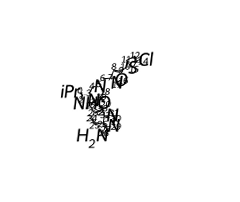 CC(C)C(N)[C@@H]1CN(Cc2cc(-c3ccc(Cl)s3)on2)CC(=O)N1Cc1ccc2c(N)ncnc2c1